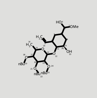 C=CC1CC(C(O)OC)C[C@@H](O)C1OC1OC(C)C(OCCCC)C(OCCCC)C1OCCCC